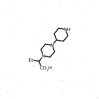 CCC(C(=O)O)N1CCN(C2CCNCC2)CC1